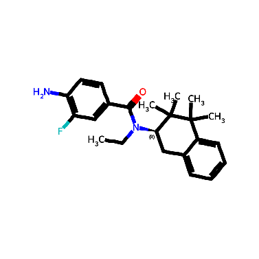 CCN(C(=O)c1ccc(N)c(F)c1)[C@@H]1Cc2ccccc2C(C)(C)C1(C)C